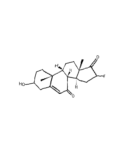 C[C@]12CCC(O)CC1=CC(=O)[C@@H]1[C@H]2CC[C@]2(C)C(=O)C(F)C[C@@H]12